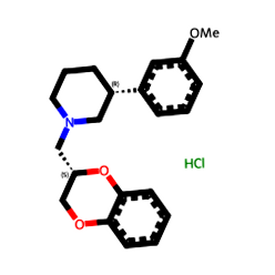 COc1cccc([C@H]2CCCN(C[C@H]3COc4ccccc4O3)C2)c1.Cl